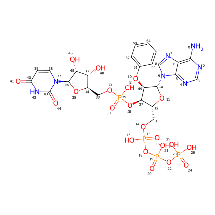 Nc1ncnc2c1ncn2[C@@H]1O[C@H](COP(=O)(O)OP(=O)(O)OP(=O)(O)O)[C@@H](OP(=O)(O)OC[C@H]2O[C@@H](n3ccc(=O)[nH]c3=O)[C@H](O)[C@@H]2O)[C@H]1Oc1ccccc1